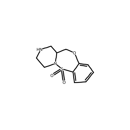 O=S1(=O)c2ccccc2OCC2CNCCN21